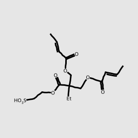 CC=CC(=O)OCC(CC)(COC(=O)C=CC)C(=O)OCCS(=O)(=O)O